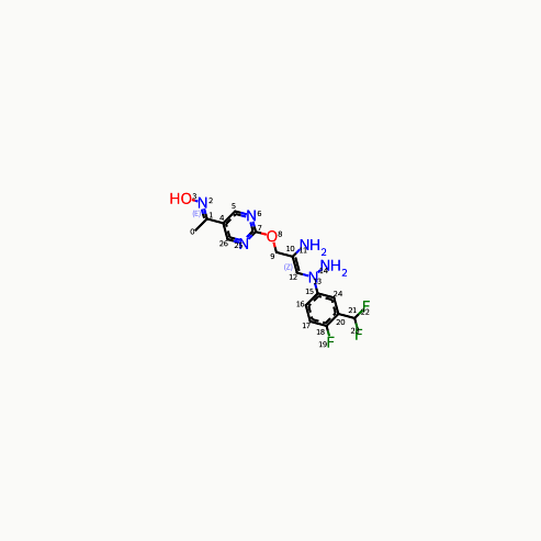 C/C(=N\O)c1cnc(OC/C(N)=C/N(N)c2ccc(F)c(C(F)F)c2)nc1